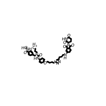 CCCCN(Cc1ccc(C(=O)NO)cc1)C(=O)Nc1ccc(OCCCCn2cc(CCCNc3ccc4c(c3)C(=O)N(C3CCC(=O)NC3=O)C4=O)nn2)cc1